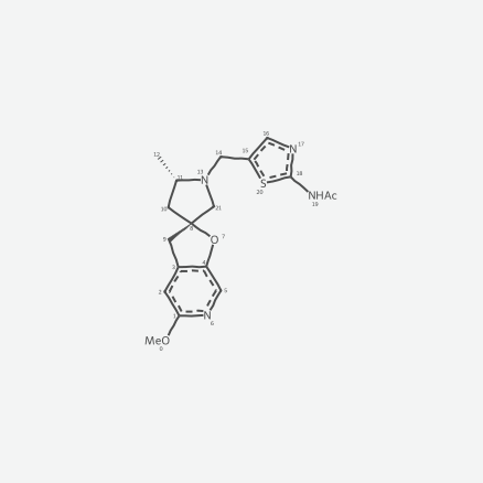 COc1cc2c(cn1)O[C@]1(C2)C[C@H](C)N(Cc2cnc(NC(C)=O)s2)C1